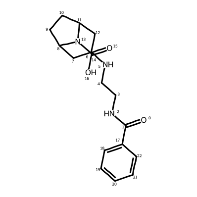 O=C(NCCNC1CC2CCC(C1)N2C(=O)O)c1ccccc1